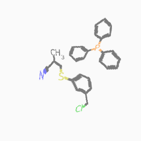 CC(C#N)CSc1cccc(CCl)c1.c1ccc(P(c2ccccc2)c2ccccc2)cc1